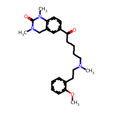 COc1ccccc1CCN(C)CCCCC(=O)c1ccc2c(c1)CN(C)C(=O)N2C